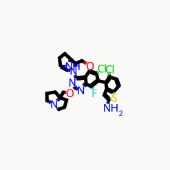 Nc1cc2c(-c3c(Cl)c4c5c(nc(OCC67CCCN6CCC7)nc5c3F)N3CC5CCC(N5)C3CO4)c(Cl)ccc2s1